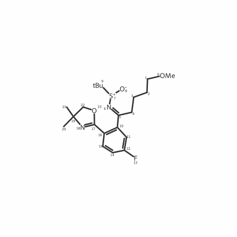 COCCCCC(=N[S+]([O-])C(C)(C)C)c1cc(F)ccc1C1=NC(C)(C)CO1